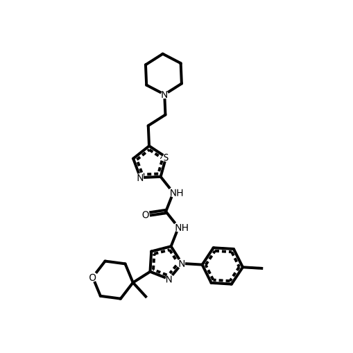 Cc1ccc(-n2nc(C3(C)CCOCC3)cc2NC(=O)Nc2ncc(CCN3CCCCC3)s2)cc1